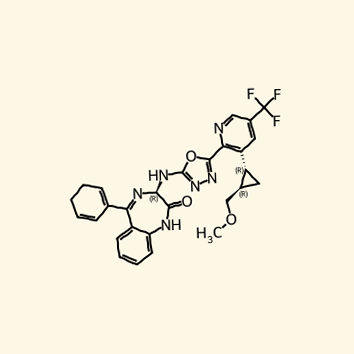 COC[C@@H]1C[C@H]1c1cc(C(F)(F)F)cnc1-c1nnc(N[C@@H]2N=C(C3=CCCC=C3)c3ccccc3NC2=O)o1